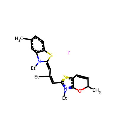 CCC(=Cc1sc2c([n+]1CC)OC(C)C=C2)C=C1Sc2ccc(C)cc2N1CC.[I-]